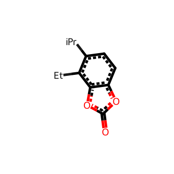 CCc1c(C(C)C)ccc2oc(=O)oc12